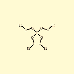 CCO[O][Ti]([O]OCC)([O]OCC)[O]OCC